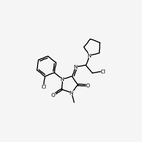 CN1C(=O)C(=NC(CCl)N2CCCC2)N(c2ccccc2Cl)C1=O